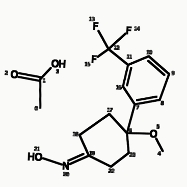 CC(=O)O.COC1(c2cccc(C(F)(F)F)c2)CCC(=NO)CC1